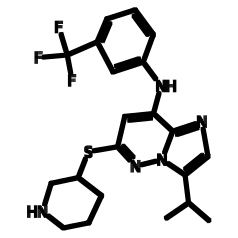 CC(C)c1cnc2c(Nc3cccc(C(F)(F)F)c3)cc(SC3CCCNC3)nn12